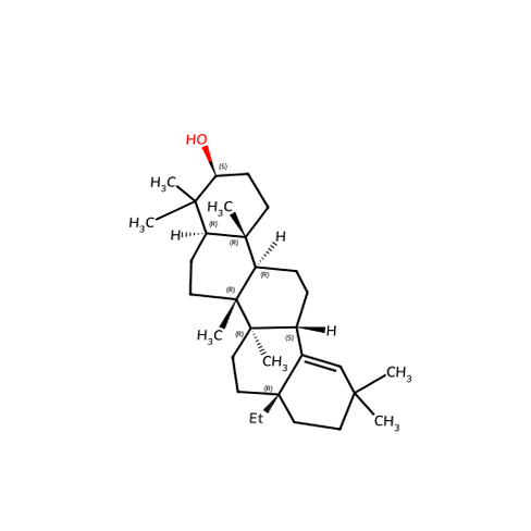 CC[C@]12CCC(C)(C)C=C1[C@H]1CC[C@@H]3[C@@]4(C)CC[C@H](O)C(C)(C)[C@@H]4CC[C@@]3(C)[C@]1(C)CC2